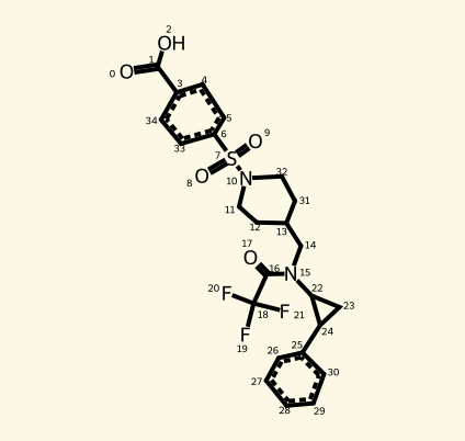 O=C(O)c1ccc(S(=O)(=O)N2CCC(CN(C(=O)C(F)(F)F)C3CC3c3ccccc3)CC2)cc1